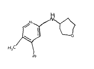 Cc1cnc(NC2CCOC2)cc1C(C)C